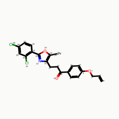 C=CCOc1ccc(C(=O)CCc2nc(-c3ccc(Cl)cc3Cl)oc2C(C)C)cc1